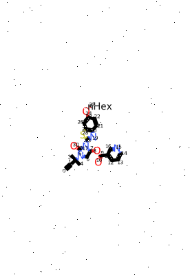 C#CC(C)(C)N1CC(OC(=O)c2cccnc2)N(c2nc3ccc(OCCCCCC)cc3s2)C1=O